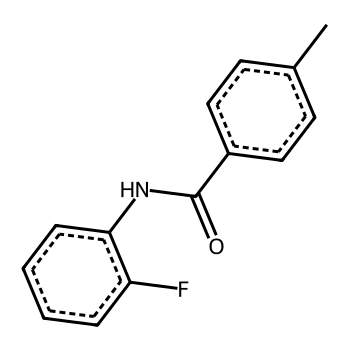 Cc1ccc(C(=O)Nc2ccccc2F)cc1